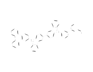 C=C/C(=C\C=C/C)c1cccc(-n2c3ccccc3c3cc(-c4ccc5c(c4)c4ccccc4n5-c4ccc(-c5ccccc5-c5ccccc5)cc4)ccc32)c1